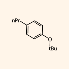 CCCc1ccc(OC(C)(C)C)cc1